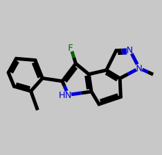 Cc1ccccc1-c1[nH]c2ccc3c(cnn3C)c2c1F